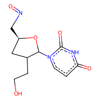 O=NC[C@@H]1CC(CCO)C(n2ccc(=O)[nH]c2=O)O1